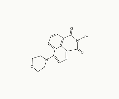 CC(C)N1C(=O)c2cccc3c(N4CCOCC4)ccc(c23)C1=O